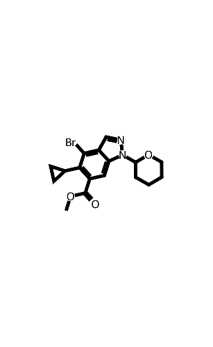 COC(=O)c1cc2c(cnn2C2CCCCO2)c(Br)c1C1CC1